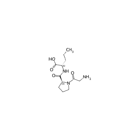 CCC[C@H](NC(=O)[C@@H]1CCCN1C(=O)CN)C(=O)O